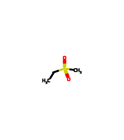 C[CH]S(C)(=O)=O